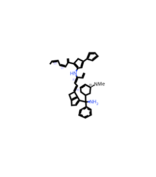 C=C/C(=C\C=C1/CC2=C1C(C(N)(c1ccccc1)C1CC=C[C@@H](NC)C1)=CC2)NC1=C(C(=C)/C=C\C=C/C)CC(C2=C=CC=C2)=C1